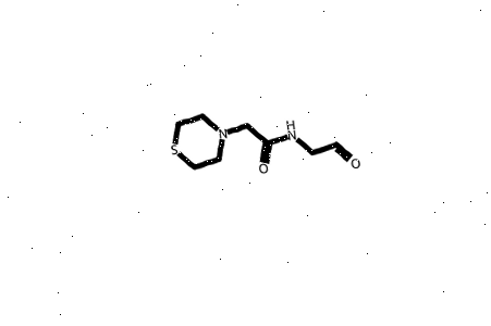 O=[C]CNC(=O)CN1CCSCC1